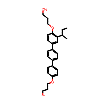 CCC(C)c1cc(-c2ccc(-c3ccc(OCCCO)cc3)cc2)ccc1OCCCO